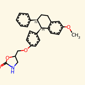 COc1ccc2c(c1)CC[C@H](c1ccccc1)[C@@H]2c1ccc(OCC2CNC(=O)O2)cc1